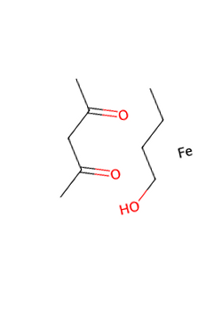 CC(=O)CC(C)=O.CCCCO.[Fe]